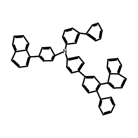 c1ccc(-c2cccc(N(c3ccc(-c4ccc(-c5ccccc5)c(-c5cccc6ccccc56)c4)cc3)c3ccc(-c4cccc5ccccc45)cc3)c2)cc1